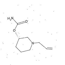 C=CCN1CCC[C@H](OC(N)=O)C1